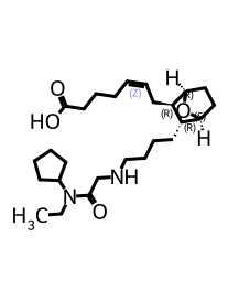 CCN(C(=O)CNCCCC[C@@H]1[C@@H](C/C=C\CCCC(=O)O)[C@H]2CC[C@@H]1O2)C1CCCC1